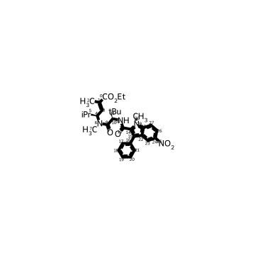 CCOC(=O)/C(C)=C/[C@H](C(C)C)N(C)C(=O)[C@@H](NC(=O)c1c(-c2ccccc2)c2cc([N+](=O)[O-])ccc2n1C)C(C)(C)C